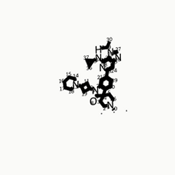 [C]N1CCC2(CC1)C(=O)N(C1CC(N3CCCCC3)C1)c1cc(-c3cc4ncn(C(C)C)c4c(NC4CC4)n3)ccc12